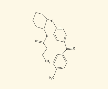 CCCC(=O)OC1CCCCC1Oc1ccc(C(=O)c2ccc(C)cc2)cc1